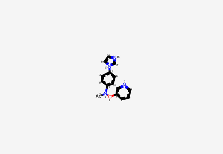 CC(=O)N(Oc1cccnc1)c1ccc(-n2ccnc2)cc1